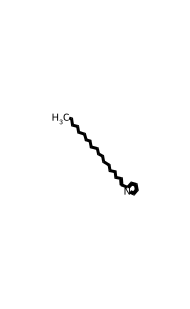 CCCCCCCCCCCCCCCCCC=Cc1ccccn1